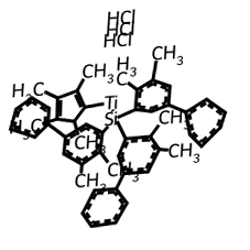 CC1=C(C)C(C)[C]([Ti][Si](c2cc(-c3ccccc3)cc(C)c2C)(c2cc(-c3ccccc3)cc(C)c2C)c2cc(-c3ccccc3)cc(C)c2C)=C1C.Cl.Cl.Cl